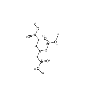 COC(=O)CCC(CC(=O)OC)CC(=O)OC